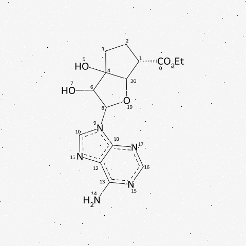 CCOC(=O)[C@H]1CCC2(O)C(O)C(n3cnc4c(N)ncnc43)OC12